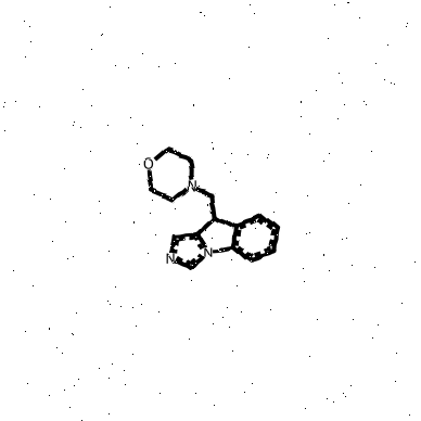 c1ccc2c(c1)C(CN1CCOCC1)c1cncn1-2